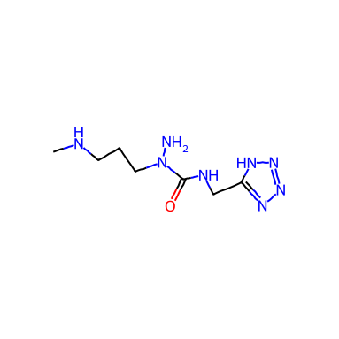 CNCCCN(N)C(=O)NCc1nnn[nH]1